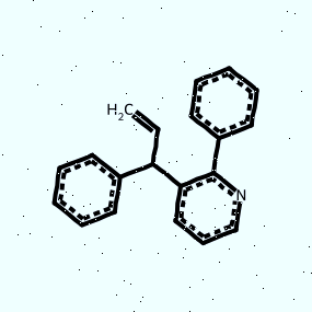 C=CC(c1ccccc1)c1cccnc1-c1ccccc1